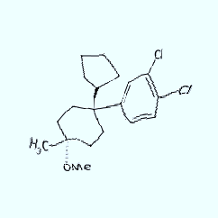 CO[C@]1(C)CC[C@@](c2ccc(Cl)c(Cl)c2)(C2CCCC2)CC1